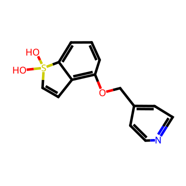 OS1(O)C=Cc2c(OCc3ccncc3)cccc21